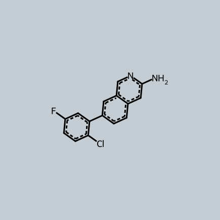 Nc1cc2ccc(-c3cc(F)ccc3Cl)cc2cn1